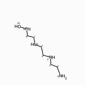 NCCNCCNCCPO